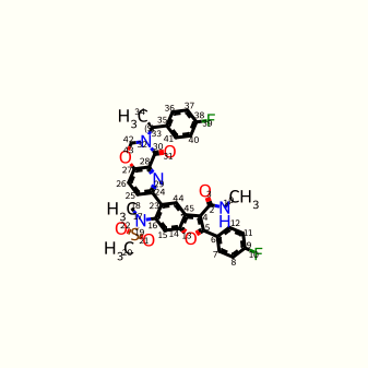 CNC(=O)c1c(-c2ccc(F)cc2)oc2cc(N(C)S(C)(=O)=O)c(-c3ccc4c(n3)C(=O)N([C@@H](C)c3ccc(F)cc3)CO4)cc12